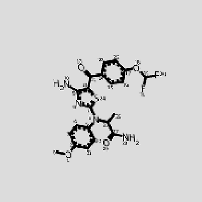 COc1ccc(N(c2nc(N)c(C(=O)c3ccc(OC(F)F)cc3)s2)C(C)C(N)=O)cc1